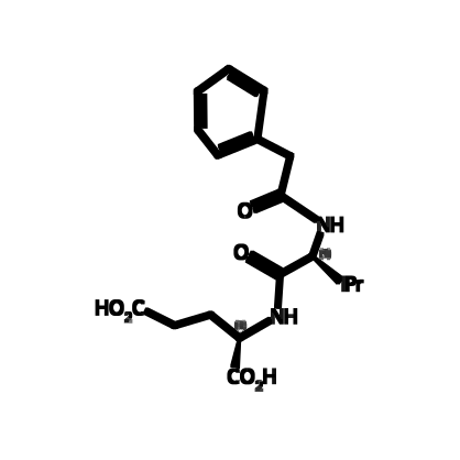 CC(C)[C@H](NC(=O)Cc1ccccc1)C(=O)N[C@H](CCC(=O)O)C(=O)O